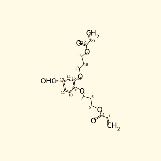 C=CC(=O)OCCCOc1ccc(C=O)cc1OCCCOC(=O)C=C